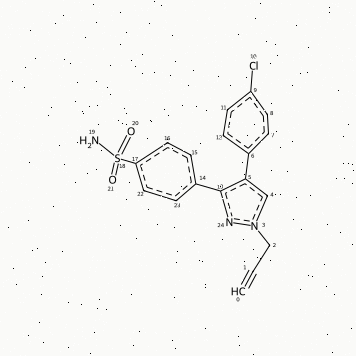 C#CCn1cc(-c2ccc(Cl)cc2)c(-c2ccc(S(N)(=O)=O)cc2)n1